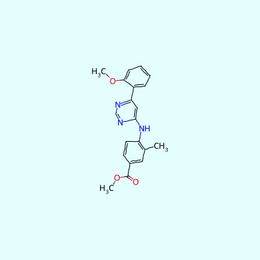 COC(=O)c1ccc(Nc2cc(-c3ccccc3OC)ncn2)c(C)c1